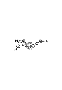 [2H]C([2H])(C(=O)N1CC=C(c2ccc(-c3ncn(C)n3)cc2)CC1)N1CC[C@@](OC)(C(=O)Nc2ccc3[nH]nc(-c4ccc(OCC)nc4)c3c2)C1